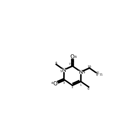 Cc1cc(=O)n(C)c(=O)n1CF